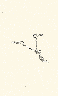 CCCCC/C=C\C/C=C\CCCCCCCCN(CCCCCCCC/C=C\C/C=C\CCCCC)OC(=O)CCN1CCN(C)CC1